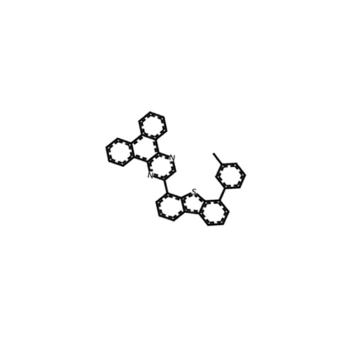 Cc1cccc(-c2cccc3c2sc2c(-c4cnc5c6ccccc6c6ccccc6c5n4)cccc23)c1